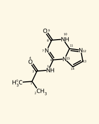 CC(C)C(=O)Nc1nc(=O)[nH]c2nccn12